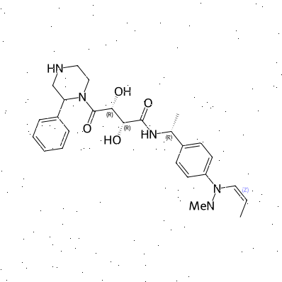 C/C=C\N(NC)c1ccc([C@@H](C)NC(=O)[C@H](O)[C@@H](O)C(=O)N2CCNCC2c2ccccc2)cc1